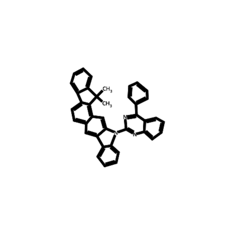 CC1(C)c2ccccc2-c2ccc3cc4c5ccccc5n(-c5nc(-c6ccccc6)c6ccccc6n5)c4cc3c21